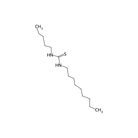 CCCCCCCCCNC(=S)NCCCCC